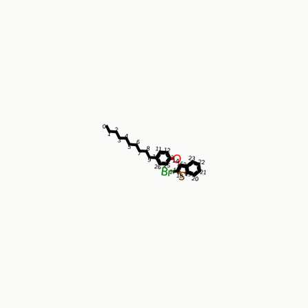 CCCCCCCCCCc1ccc(Oc2c(Br)sc3ccccc23)cc1